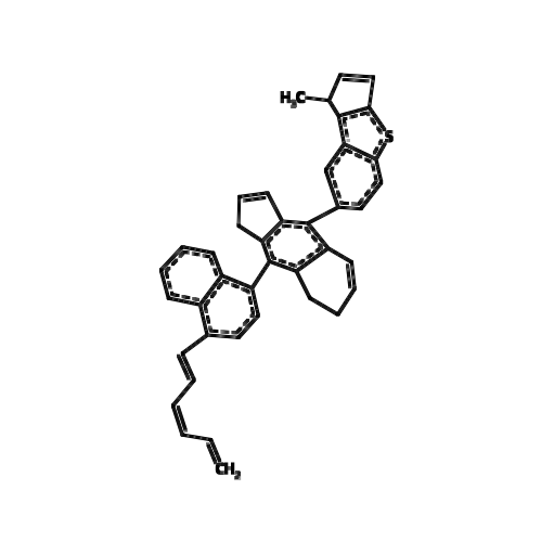 C=C/C=C\C=Cc1ccc(-c2c3c(c(-c4ccc5sc6c(c5c4)C(C)C=C6)c4c2CCC=C4)C=CC3)c2ccccc12